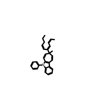 C\C=C/C=C(\C=C/CCC)C1(C)C=Cc2c(n(-c3ccccc3)c3ccccc23)C=C1